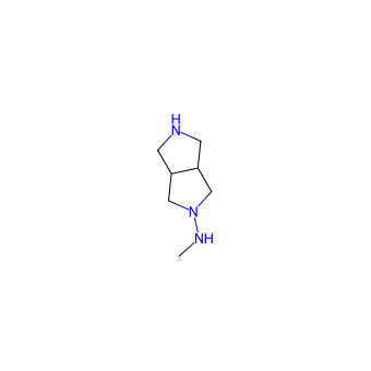 CNN1CC2CNCC2C1